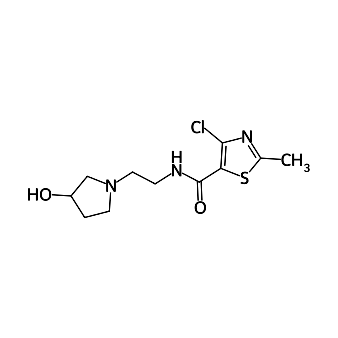 Cc1nc(Cl)c(C(=O)NCCN2CCC(O)C2)s1